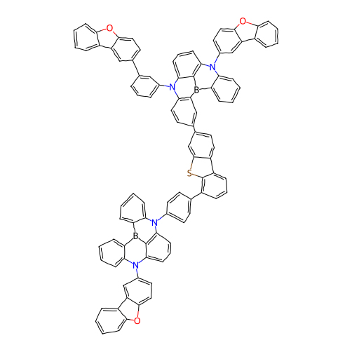 c1cc(-c2ccc3oc4ccccc4c3c2)cc(N2c3ccc(-c4ccc5c(c4)sc4c(-c6ccc(N7c8ccccc8B8c9ccccc9N(c9ccc%10oc%11ccccc%11c%10c9)c9cccc7c98)cc6)cccc45)cc3B3c4ccccc4N(c4ccc5oc6ccccc6c5c4)c4cccc2c43)c1